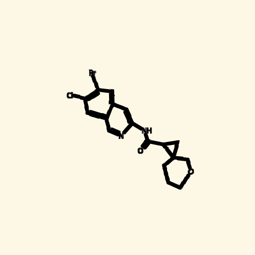 O=C(Nc1cc2cc(Br)c(Cl)cc2cn1)C1CC12CCCOC2